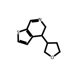 C1=NCC(C2CCOC2)c2ccsc21